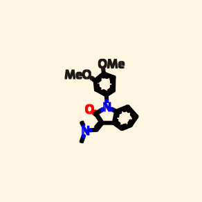 COc1ccc(N2C(=O)C(=CN(C)C)c3ccccc32)cc1OC